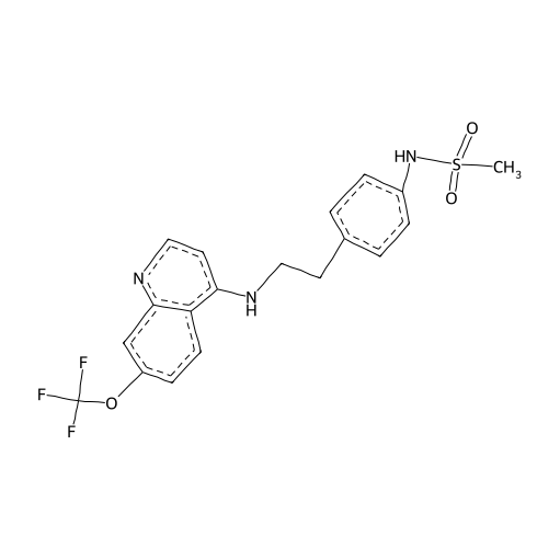 CS(=O)(=O)Nc1ccc(CCNc2ccnc3cc(OC(F)(F)F)ccc23)cc1